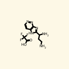 NCCC(N)c1nc2nnccc2[nH]1.O=C(O)C(F)(F)F